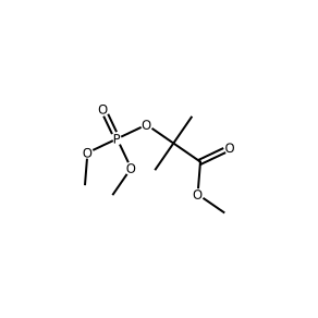 COC(=O)C(C)(C)OP(=O)(OC)OC